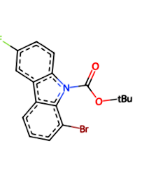 CC(C)(C)OC(=O)n1c2ccc(F)cc2c2cccc(Br)c21